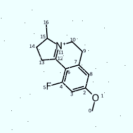 COc1cc(F)c2c(c1)CC[N+]1=C2CCC1C